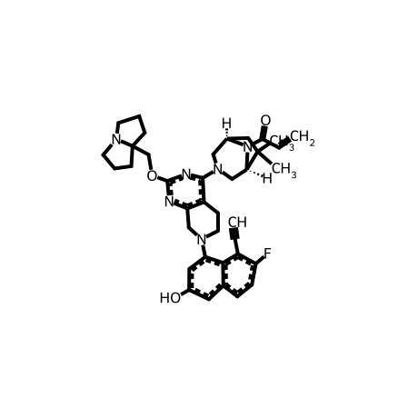 C#Cc1c(F)ccc2cc(O)cc(N3CCc4c(nc(OCC56CCCN5CCC6)nc4N4C[C@H]5CC(C)(C)[C@@H](C4)N5C(=O)C=C)C3)c12